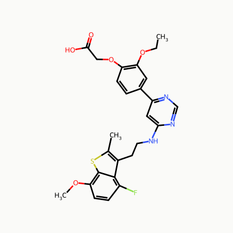 CCOc1cc(-c2cc(NCCc3c(C)sc4c(OC)ccc(F)c34)ncn2)ccc1OCC(=O)O